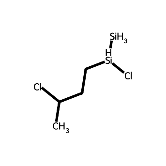 CC(Cl)CC[SiH]([SiH3])Cl